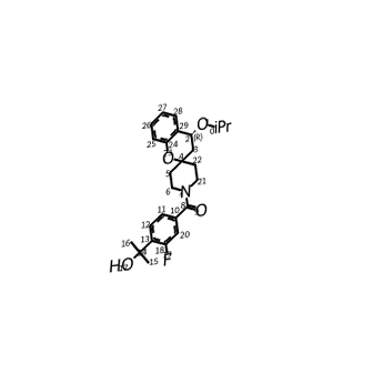 CC(C)O[C@@H]1CC2(CCN(C(=O)c3ccc(C(C)(C)O)c(F)c3)CC2)Oc2ccccc21